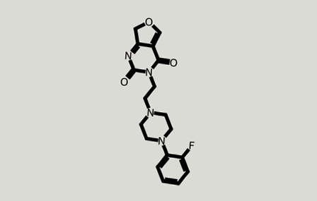 O=C1N=C2COC=C2C(=O)N1CCN1CCN(c2ccccc2F)CC1